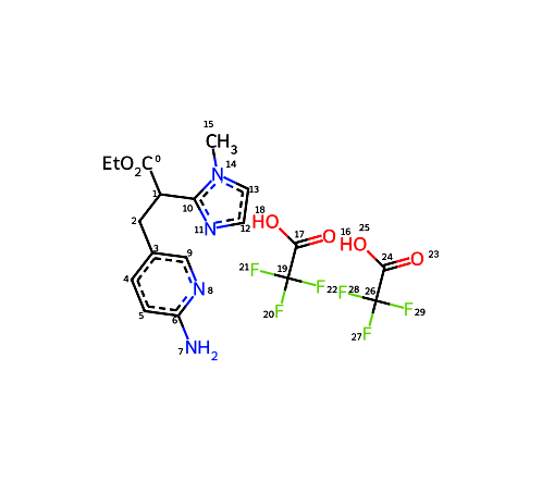 CCOC(=O)C(Cc1ccc(N)nc1)c1nccn1C.O=C(O)C(F)(F)F.O=C(O)C(F)(F)F